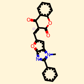 Cn1c(-c2ccccc2)nc2oc(/C=C3\C(=O)Oc4ccccc4C3=O)cc21